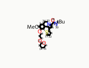 COc1cc2c(cc1OCCCOC1CCCCO1)-c1c(C3CC=CS3)cc(C(=O)N(C)C(C)(C)C)n1CC2